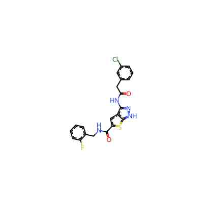 O=C(Cc1cccc(Cl)c1)Nc1n[nH]c2sc(C(=O)NCc3ccccc3F)cc12